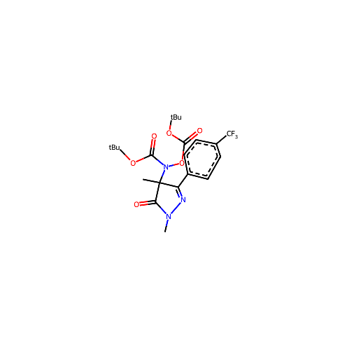 CN1N=C(c2ccc(C(F)(F)F)cc2)C(C)(N(OC(=O)OC(C)(C)C)C(=O)OC(C)(C)C)C1=O